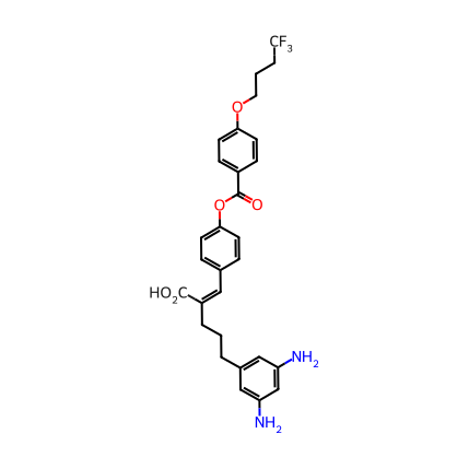 Nc1cc(N)cc(CCCC(=Cc2ccc(OC(=O)c3ccc(OCCCC(F)(F)F)cc3)cc2)C(=O)O)c1